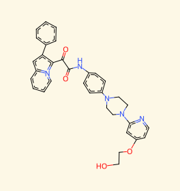 O=C(Nc1ccc(N2CCN(c3cc(OCCO)ccn3)CC2)cc1)C(=O)c1c(-c2ccccc2)cc2ccccn12